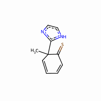 CC1(c2ncc[nH]2)C=CC=CC1=S